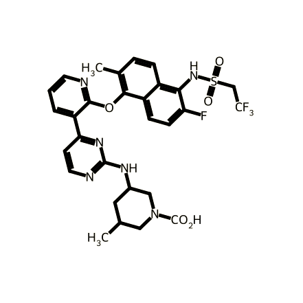 Cc1ccc2c(NS(=O)(=O)CC(F)(F)F)c(F)ccc2c1Oc1ncccc1-c1ccnc(NC2CC(C)CN(C(=O)O)C2)n1